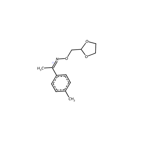 C/C(=N/OCC1OCCO1)c1ccc(C)cc1